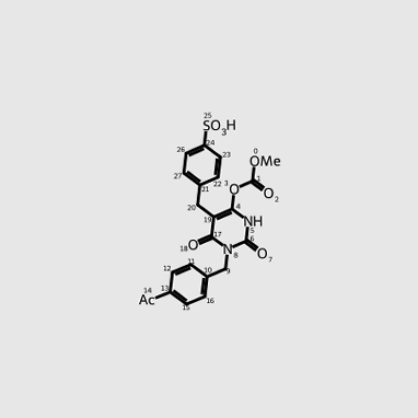 COC(=O)Oc1[nH]c(=O)n(Cc2ccc(C(C)=O)cc2)c(=O)c1Cc1ccc(S(=O)(=O)O)cc1